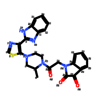 CC1CN(c2scnc2-c2nc3ccccc3[nH]2)CCN1C(=O)CN1C(=O)C(=O)c2ccccc21